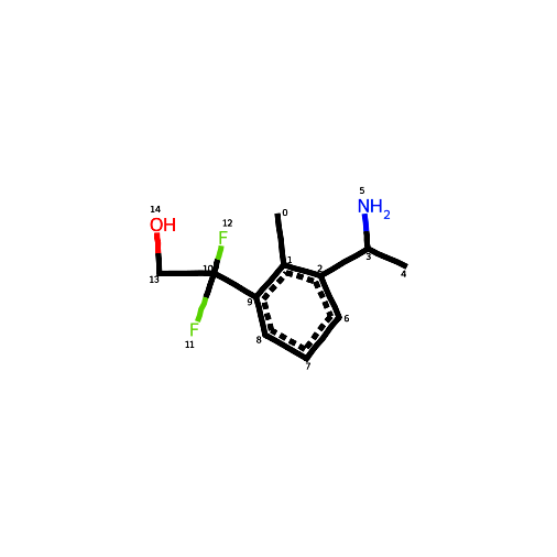 Cc1c(C(C)N)cccc1C(F)(F)CO